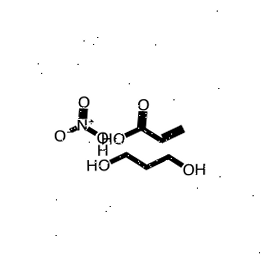 C=CC(=O)O.O=[N+]([O-])O.OCCCO